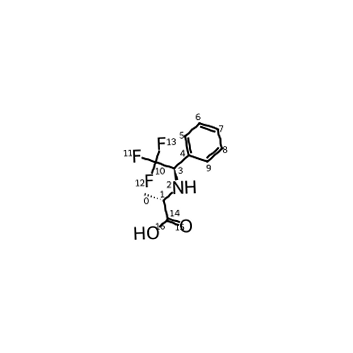 C[C@H](N[C@H](c1ccccc1)C(F)(F)F)C(=O)O